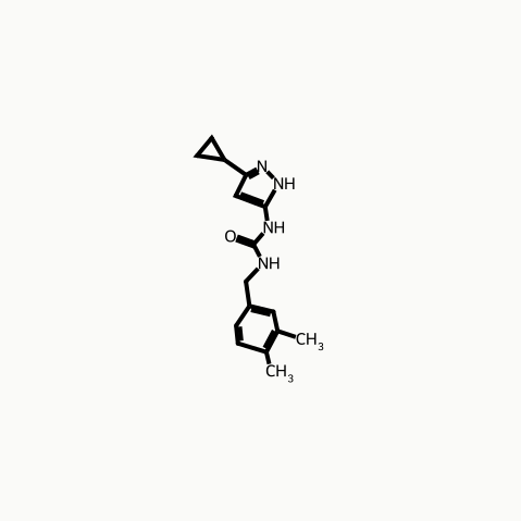 Cc1ccc(CNC(=O)Nc2cc(C3CC3)n[nH]2)cc1C